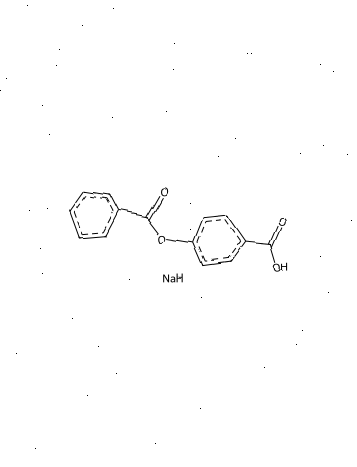 O=C(O)c1ccc(OC(=O)c2ccccc2)cc1.[NaH]